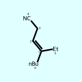 CCCCC(=CCC#N)CC